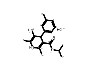 CC1=C(N)C(c2cccc(C)c2)C(C(=O)OC(C)C)=C(C)N1.Cl